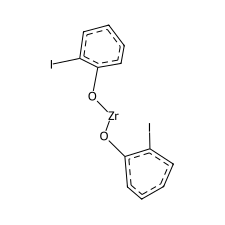 Ic1ccccc1[O][Zr][O]c1ccccc1I